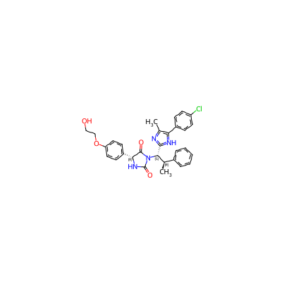 Cc1nc([C@H]([C@H](C)c2ccccc2)N2C(=O)N[C@H](c3ccc(OCCO)cc3)C2=O)[nH]c1-c1ccc(Cl)cc1